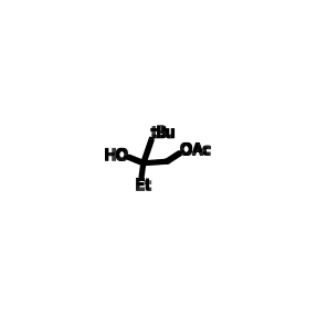 CCC(O)(COC(C)=O)C(C)(C)C